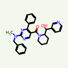 CN(Cc1ccccc1)c1ncc(C(=O)N2CCCCC2C(O)c2cccnc2)c(-c2ccccc2)n1